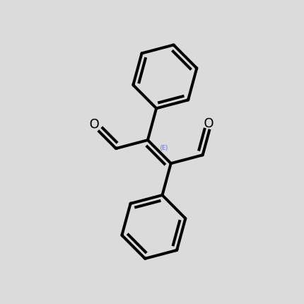 O=C/C(=C(/C=O)c1ccccc1)c1ccccc1